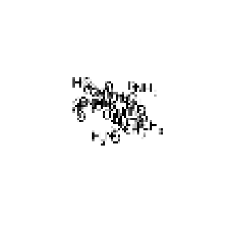 CCc1nc(C)oc1C(=O)Nc1nc2cc(C(N)=O)cc(OC)c2n1C/C=C/Cn1c(NC(=O)c2oc(C)nc2CC)nc2cc(C(N)=O)cc(OCCCNC(=O)[C@@H](CCCC(=O)O)NC(=O)[C@H](N)CNC(=O)CN3C(=O)C=CC3=O)c21